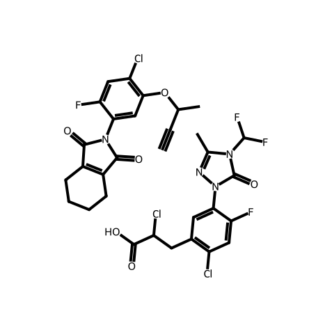 C#CC(C)Oc1cc(N2C(=O)C3=C(CCCC3)C2=O)c(F)cc1Cl.Cc1nn(-c2cc(CC(Cl)C(=O)O)c(Cl)cc2F)c(=O)n1C(F)F